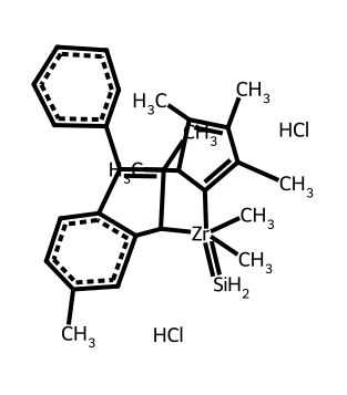 CC1=C(C)C(C)[C]([Zr]([CH3])([CH3])(=[SiH2])[CH]2C(C)=C(c3ccccc3)c3ccc(C)cc32)=C1C.Cl.Cl